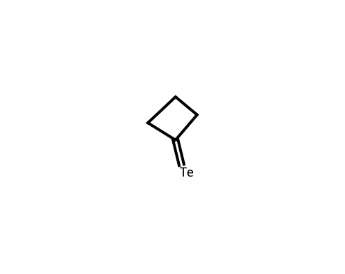 [Te]=C1CCC1